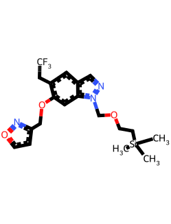 C[Si](C)(C)CCOCn1ncc2cc(CC(F)(F)F)c(OCc3ccon3)cc21